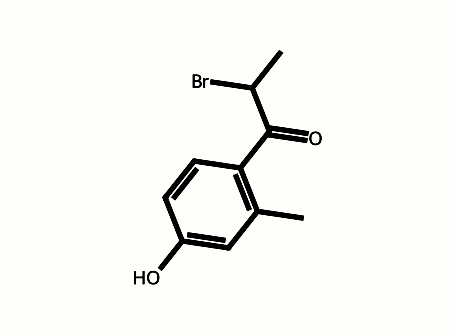 Cc1cc(O)ccc1C(=O)C(C)Br